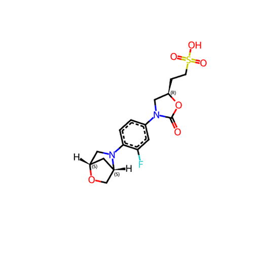 O=C1O[C@H](CCS(=O)(=O)O)CN1c1ccc(N2C[C@@H]3C[C@H]2CO3)c(F)c1